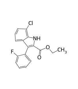 CCOC(=O)c1[nH]c2c(Cl)cccc2c1-c1ccccc1F